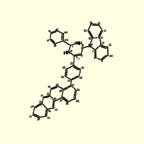 NC(N/C(=C\Cn1c2ccccc2c2ccccc21)c1ccc(-c2cccc3c2ccc2cc4ccccc4cc23)cc1)c1ccccc1